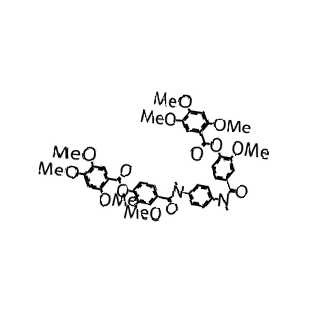 COc1cc(OC)c(C(=O)Oc2ccc(C(=O)N(C)c3ccc(N(C)C(=O)c4ccc(OC(=O)c5cc(OC)c(OC)cc5OC)c(OC)c4)cc3)cc2OC)cc1OC